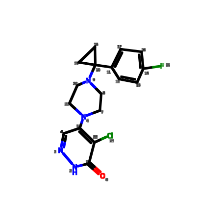 O=c1[nH]ncc(N2CCN(C3(c4ccc(F)cc4)CC3)CC2)c1Cl